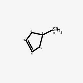 [SiH3]C1CC=CC1